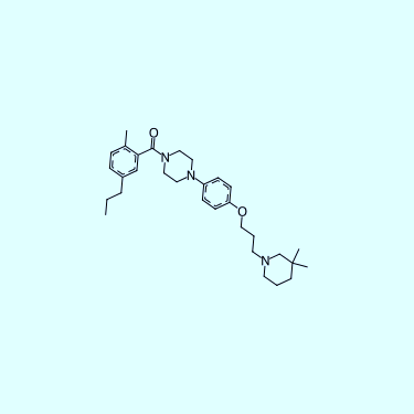 CCCc1ccc(C)c(C(=O)N2CCN(c3ccc(OCCCN4CCCC(C)(C)C4)cc3)CC2)c1